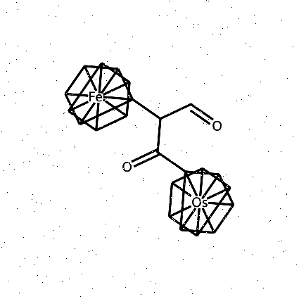 O=CC(C(=O)[C]12[CH]3[CH]4[CH]5[CH]1[Os]45321678[CH]2[CH]1[CH]6[CH]7[CH]28)[C]12[CH]3[CH]4[CH]5[CH]1[Fe]45321678[CH]2[CH]1[CH]6[CH]7[CH]28